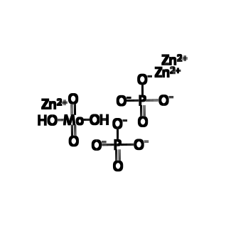 O=P([O-])([O-])[O-].O=P([O-])([O-])[O-].[O]=[Mo](=[O])([OH])[OH].[Zn+2].[Zn+2].[Zn+2]